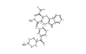 CN(C)C(=O)[C@H]1Cc2c([nH]c3ccccc23)[C@H](c2ccc(C(=O)N3CCC(O)CC3)cc2)N1C(=O)CCl